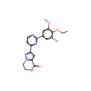 CCOc1c(Br)cc(-c2nccc(-c3cc4n(n3)CCNC4=O)n2)cc1OC